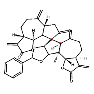 C=C1CC[C@H]2C(=C)C(=O)O[C@@H]2C2[C@H]1CC(=O)[C@]21CC[C@@]23OC(c4ccccc4)O[C@]21C[C@H]1C(=C)CC[C@H]2C(=C)C(=O)O[C@@H]2[C@H]13